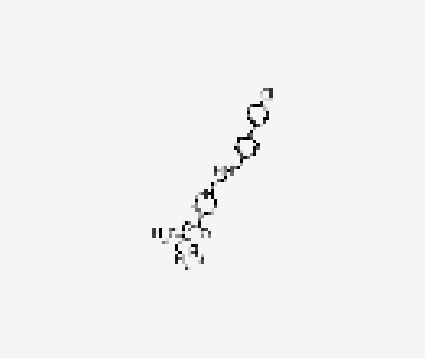 CC(C)(C)OC(=O)N1CCN(CCNCc2ccc(-c3ccc(Cl)cc3)cc2)CC1